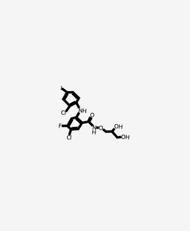 O=C(NOCC(O)CO)c1cc(Cl)c(F)cc1Nc1ccc(I)cc1Cl